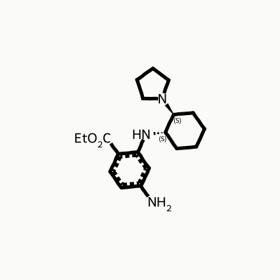 CCOC(=O)c1ccc(N)cc1N[C@H]1CCCC[C@@H]1N1CCCC1